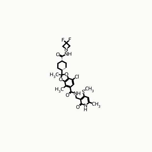 CSc1cc(C)[nH]c(=O)c1CNC(=O)c1cc(Cl)c2c(c1C)O[C@](C)([C@H]1CC[C@@H](C(=O)NN3CC(F)(F)C3)CC1)O2